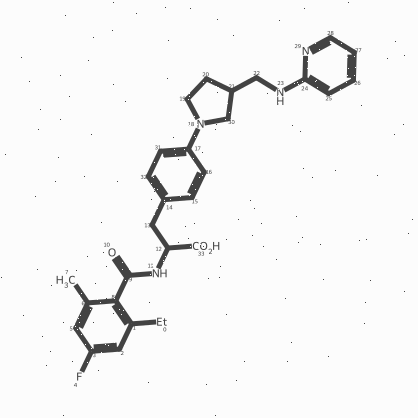 CCc1cc(F)cc(C)c1C(=O)NC(Cc1ccc(N2CCC(CNc3ccccn3)C2)cc1)C(=O)O